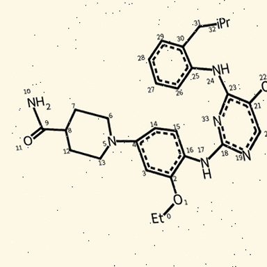 CCOc1cc(N2CCC(C(N)=O)CC2)ccc1Nc1ncc(Cl)c(Nc2ccccc2CC(C)C)n1